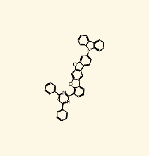 c1ccc(-c2nc(-c3ccccc3)nc(-c3cccc4c3oc3cc5oc6cc(-n7c8ccccc8c8ccccc87)ccc6c5cc34)n2)cc1